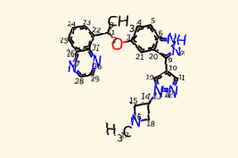 CC(Oc1ccc2[nH]nc(-c3cnn(C4CN(C)C4)c3)c2c1)c1cccc2nccnc12